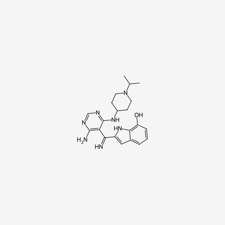 CC(C)N1CCC(Nc2ncnc(N)c2C(=N)c2cc3cccc(O)c3[nH]2)CC1